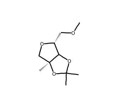 COC[C@H]1OC[C@]2(C)OC(C)(C)OC12